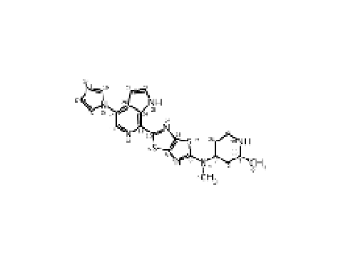 C[C@H]1CC(N(C)c2nc3sc(-c4ncc(-n5ccnc5)c5cc[nH]c45)nc3s2)CCN1